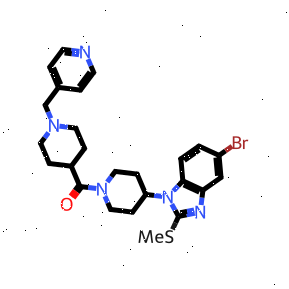 CSc1nc2cc(Br)ccc2n1C1CCN(C(=O)C2CCN(Cc3ccncc3)CC2)CC1